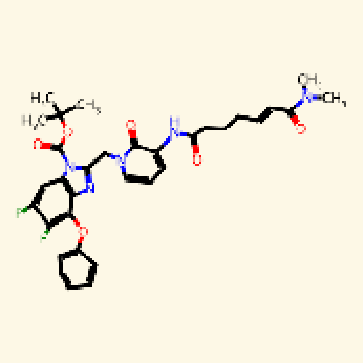 CN(C)C(=O)/C=C/CCCC(=O)Nc1cccn(Cc2nc3c(Oc4ccccc4)c(F)c(F)cc3n2C(=O)OC(C)(C)C)c1=O